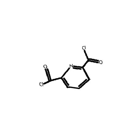 O=C(Cl)c1[c]ccc(C(=O)Cl)n1